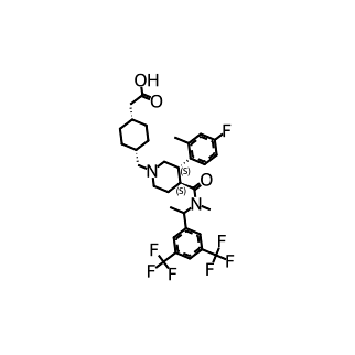 Cc1cc(F)ccc1[C@H]1CN(C[C@H]2CC[C@@H](CC(=O)O)CC2)CC[C@@H]1C(=O)N(C)C(C)c1cc(C(F)(F)F)cc(C(F)(F)F)c1